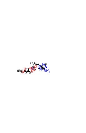 C[C@H](Cn1cnc2c(N)ncnc21)OCP1(=O)OCC(CC(=O)OC(C)(C)C)CO1